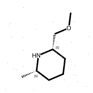 COC[C@@H]1CCC[C@H](C)N1